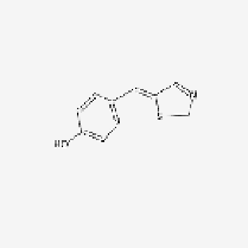 Oc1ccc(C=C2C=NCS2)cc1